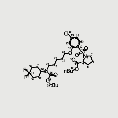 CCCCOC(=O)[C@@H]1CCCN1S(=O)(=O)c1ccc(Cl)cc1OCCCCCN(C(=O)OC(C)(C)C)C1CCC(F)(F)CC1